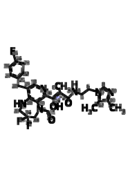 C/C(C(=O)NCCn1cnc(C)c1C)=C(/O)c1ncc(Cc2ccc(F)cc2)c2c1N(C=O)CC(F)(F)CN2